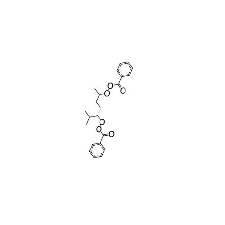 CC(CC[C@H](OOC(=O)c1ccccc1)C(C)C)OOC(=O)c1ccccc1